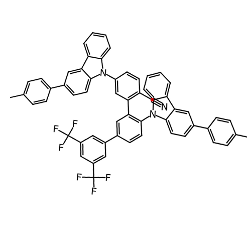 Cc1ccc(-c2ccc3c(c2)c2ccccc2n3-c2ccc(C#N)c(-c3cc(-c4cc(C(F)(F)F)cc(C(F)(F)F)c4)ccc3-n3c4ccccc4c4cc(-c5ccc(C)cc5)ccc43)c2)cc1